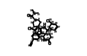 C#Cc1ccc(OC2CCN(C(=O)N(C)C)CC2)c([C@@H]2NC(=O)C[C@@H](C3C=CC=C(Cl)C3)[C@]23C(=O)Nc2cc(Cl)ccc23)c1